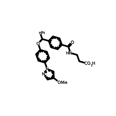 CCCC(Oc1ccc(-n2cc(OC)cn2)cc1)c1ccc(C(=O)NCCC(=O)O)cc1